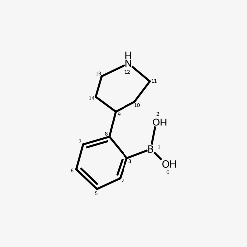 OB(O)c1ccccc1C1CCNCC1